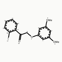 COc1cc(OC)cc(OCC(=O)c2ccccc2I)c1